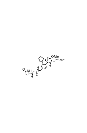 COC(=O)[C@H](CCSC)NC(=O)c1ccc(CNC(=O)CN[C@@H]2CCC(=O)N2)cc1-c1ccccc1